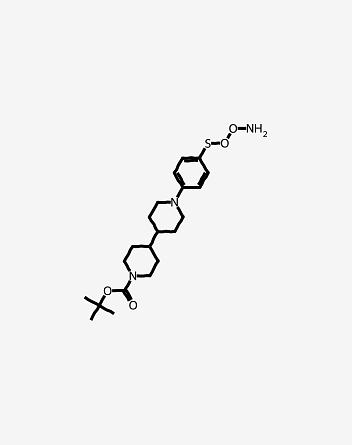 CC(C)(C)OC(=O)N1CCC(C2CCN(c3ccc(SOON)cc3)CC2)CC1